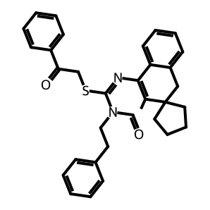 CC1=C(/N=C(/SCC(=O)c2ccccc2)N(C=O)CCc2ccccc2)c2ccccc2CC12CCCC2